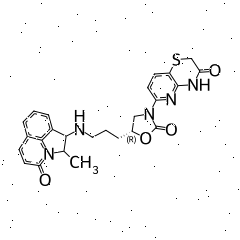 CC1C(NCCC[C@@H]2CN(c3ccc4c(n3)NC(=O)CS4)C(=O)O2)c2cccc3ccc(=O)n1c23